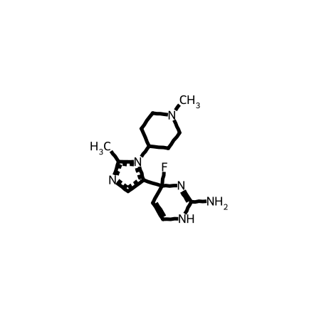 Cc1ncc(C2(F)C=CNC(N)=N2)n1C1CCN(C)CC1